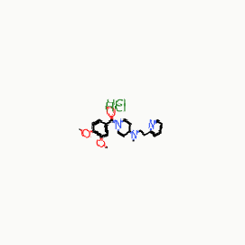 COc1ccc(C(=O)N2CCC(N(C)CCc3ccccn3)CC2)cc1OC.Cl.Cl